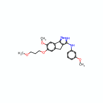 COCCCOc1cc2c(cc1OC)-c1n[nH]c(Nc3cccc(OC)c3)c1C2